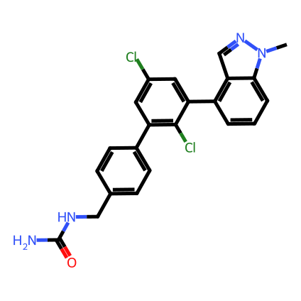 Cn1ncc2c(-c3cc(Cl)cc(-c4ccc(CNC(N)=O)cc4)c3Cl)cccc21